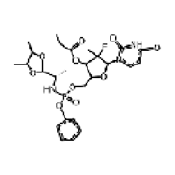 CCC(=O)OC1C(COP(=O)(N[C@@H](C)C2OC(C)C(C)O2)Oc2ccccc2)OC(n2ccc(=O)[nH]c2=O)C1(C)F